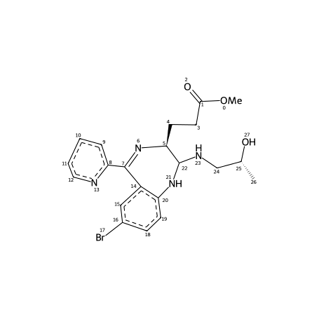 COC(=O)CC[C@@H]1N=C(c2ccccn2)c2cc(Br)ccc2NC1NC[C@@H](C)O